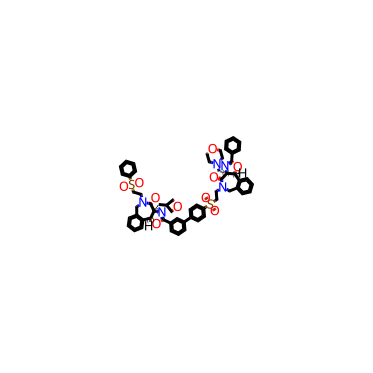 O=C1N(CCS(=O)(=O)c2ccccc2)Cc2ccccc2[C@@H]2OC(c3cccc(-c4ccc(S(=O)(=O)CCN5Cc6ccccc6[C@@H]6OC(c7ccccc7)=N[C@]6(CN6CCOCC6)C5=O)cc4)c3)=N[C@]12CC1COC1